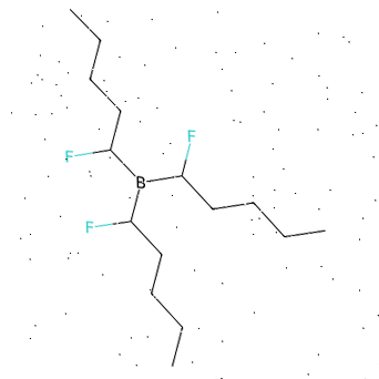 CCCCC(F)B(C(F)CCCC)C(F)CCCC